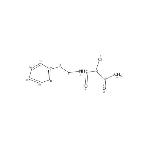 CC(=O)C(Cl)C(=O)NCCc1ccccc1